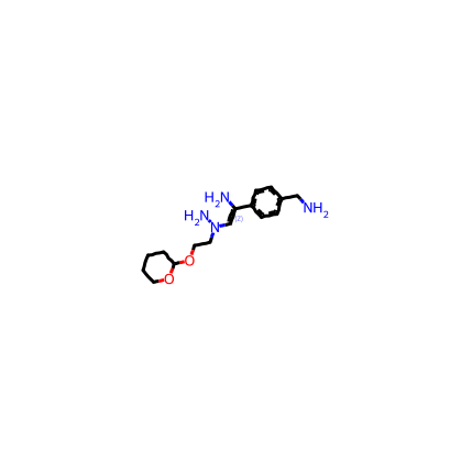 NCc1ccc(/C(N)=C/N(N)CCOC2CCCCO2)cc1